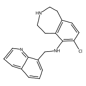 Clc1ccc2c(c1NCc1cccc3cccnc13)CCNCC2